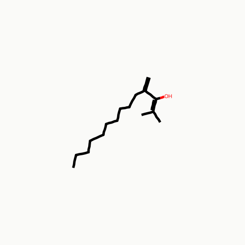 C=C(CCCCCCCCCC)C(O)=C(C)C